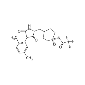 Cc1ccc(C)c(C2C(=O)NC(CC3CCS(=O)(=NC(=O)C(F)(F)F)CC3)C2=O)c1